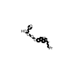 CC(C)CCC[C@@H](C)[C@H]1CC[C@H]2[C@@H]3CC=C4CC(OCCOCCOC(CO)CCN5CCOCC5)CC[C@]4(C)[C@H]3CC[C@]12C